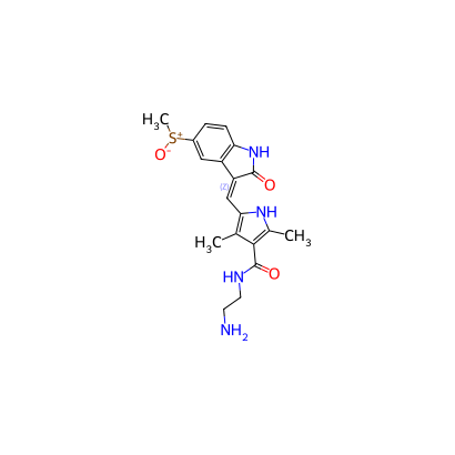 Cc1[nH]c(/C=C2\C(=O)Nc3ccc([S+](C)[O-])cc32)c(C)c1C(=O)NCCN